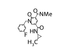 CNC(=O)c1cc(C(=O)NC2C[C@H]2C)cn(Cc2cccc(F)c2)c1=O